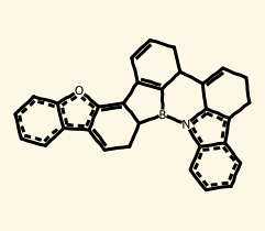 C1=CC2=C3B(C4CC=c5c(oc6ccccc56)=C24)n2c4c(c5ccccc52)CCC=C4C3C1